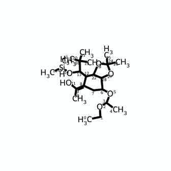 CCOC(C)OC1CC(=C(C)O)C(C(O[SiH](C)C)C(C)(C)C)C2OC(C)(C)OC12